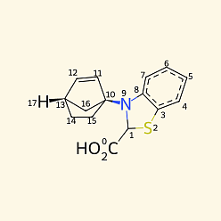 O=C(O)C1Sc2ccccc2N1[C@@]12C=C[C@@H](CC1)C2